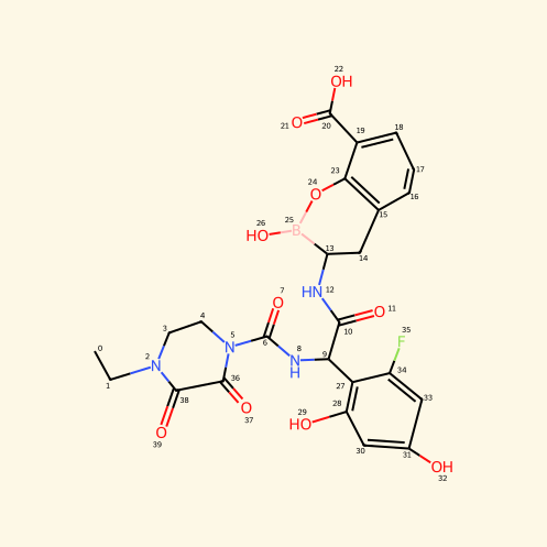 CCN1CCN(C(=O)NC(C(=O)NC2Cc3cccc(C(=O)O)c3OB2O)c2c(O)cc(O)cc2F)C(=O)C1=O